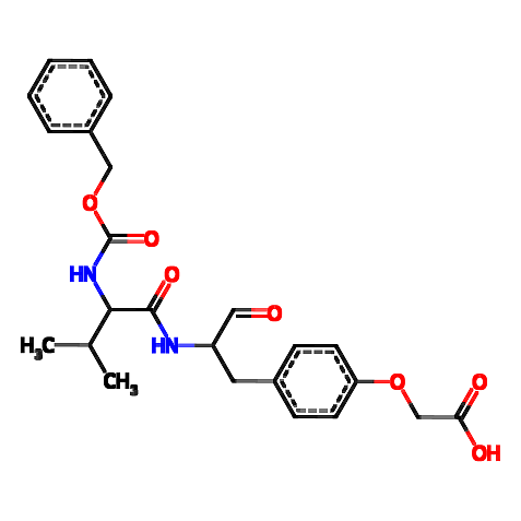 CC(C)C(NC(=O)OCc1ccccc1)C(=O)NC(C=O)Cc1ccc(OCC(=O)O)cc1